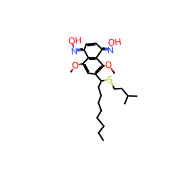 CCCCCCCCC(SCCC(C)C)c1cc(OC)c2c(c1OC)C(=NO)C=CC2=NO